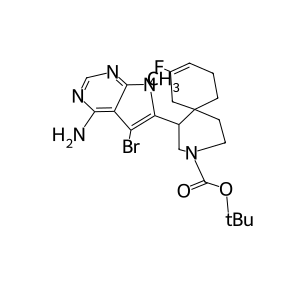 Cn1c(C2CN(C(=O)OC(C)(C)C)CCC23CCC=C(F)C3)c(Br)c2c(N)ncnc21